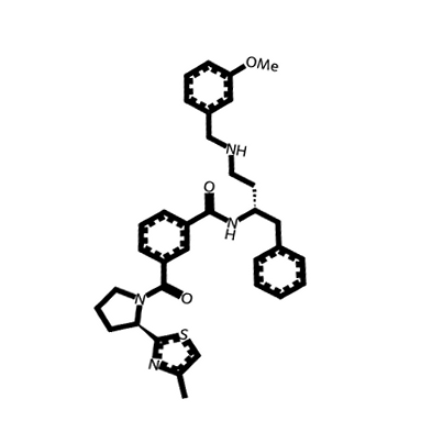 COc1cccc(CNCC[C@H](Cc2ccccc2)NC(=O)c2cccc(C(=O)N3CCC[C@@H]3c3nc(C)cs3)c2)c1